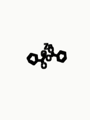 O=C(OC(=O)c1ccccc1)C(=O)c1ccccc1.[Zn]